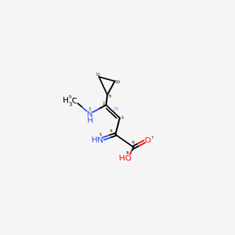 CN/C(=C\C(=N)C(=O)O)C1CC1